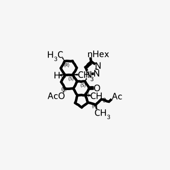 CCCCCCc1cn([C@@H]2C(=O)[C@@]3(C)C(CCC3[C@H](C)CCC(C)=O)C3C2[C@@]2(C)CC[C@@H](C)C[C@H]2C[C@H]3OC(C)=O)nn1